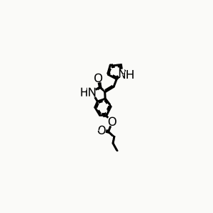 CCCC(=O)Oc1ccc2c(c1)/C(=C/c1ccc[nH]1)C(=O)N2